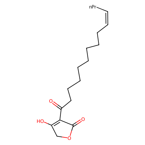 CCC/C=C\CCCCCCCCC(=O)C1=C(O)COC1=O